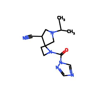 CC(C)N1CC(C#N)C2(CCN2C(=O)n2cncn2)C1